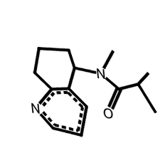 CC(C)C(=O)N(C)C1CCCc2ncccc21